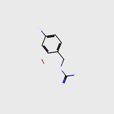 N=C(N)NCc1ccc(N)cc1.O=S(=O)(O)O